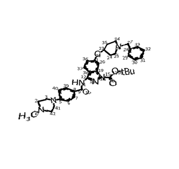 CN1CCN(c2ccc(C(=O)Nc3nn(C(=O)OC(C)(C)C)c4cc(OC5CCN(Cc6ccccc6)CC5)ccc34)cc2)CC1